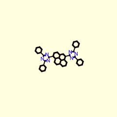 c1ccc(-c2nc(-c3ccccc3)nc(-c3cc4ccc(-c5nc(-c6ccccc6)nc(-c6ccccc6)n5)c5ccc6cccc3c6c45)n2)cc1